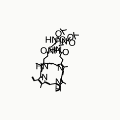 C=CC1=C(C)c2cc3[nH]c(cc4nc(cc5[nH]c(cc1n2)c(C)c5CCC(=O)NCCNC(=O)OC(C)(C)C)C(CCC(=O)NCCNC(=O)OC(C)(C)C)=C4C)c(C)c3C=C